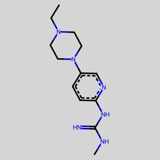 CCN1CCN(c2ccc(NC(=N)NC)nc2)CC1